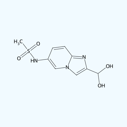 CS(=O)(=O)Nc1ccc2nc(C(O)O)cn2c1